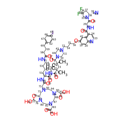 CC(C)(CC(C)(C)C(=O)N1CCN(CCCCOc2ccc3nccc(C(=O)NCC(=O)N4CC(F)(F)C[C@@H]4C#N)c3c2)CC1)C(=O)NC(=O)[C@H](CCCCNC(=O)CCCc1ccc(I)cc1)NC(=O)CN1CCN(CC(=O)O)CCN(CC(=O)O)CCN(CC(=O)O)CC1